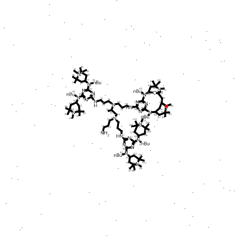 CCCCN(c1nc(NCCCN(CCCN)CC(C)N(CCCNc2nc(N(CCCC)C3CC(C)(C)N(C)C(C)(C)C3)nc(N(CCCC)C3CC(C)(C)N(C)C(C)(C)C3)n2)CCCNc2nc3nc(n2)N(CCCC)C2CC(C)(C)N(C)C(C)(C2)CC2(C)CC(CC(C)(C)N2C)N3CCCC)nc(N(CCCC)C2CC(C)(C)N(C)C(C)(C)C2)n1)C1CC(C)(C)N(C)C(C)(C)C1